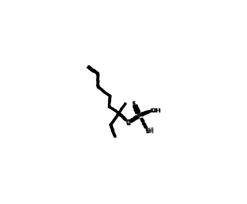 CCCCCC(C)(CC)OP(O)(=S)S